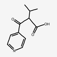 CC(C)C(C(=O)O)C(=O)c1ccncc1